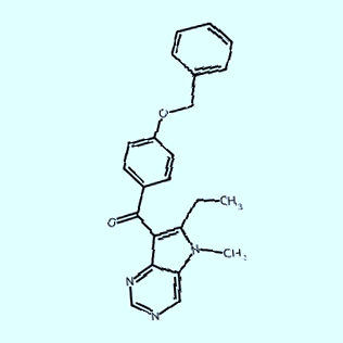 CCc1c(C(=O)c2ccc(OCc3ccccc3)cc2)c2ncncc2n1C